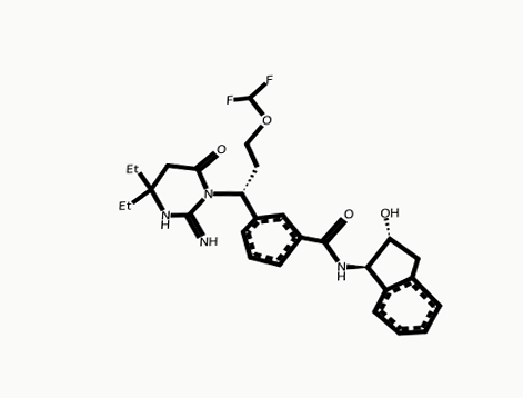 CCC1(CC)CC(=O)N([C@H](CCOC(F)F)c2cccc(C(=O)N[C@@H]3c4ccccc4C[C@H]3O)c2)C(=N)N1